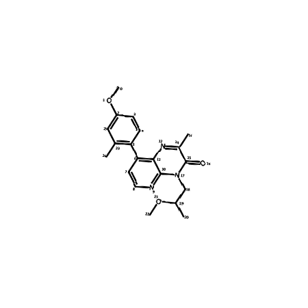 COc1ccc(-c2ccnc3c2nc(C)c(=O)n3CC(C)OC)c(C)c1